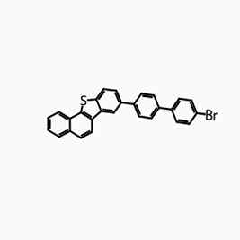 Brc1ccc(-c2ccc(-c3ccc4sc5c6ccccc6ccc5c4c3)cc2)cc1